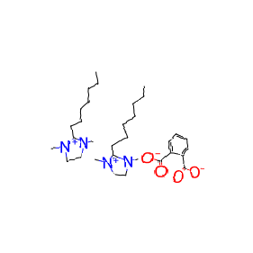 CCCCCCCC1=[N+](C)CCN1C.CCCCCCCC1=[N+](C)CCN1C.O=C([O-])c1ccccc1C(=O)[O-]